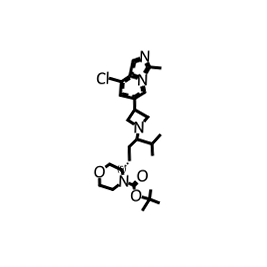 Cc1ncc2c(Cl)cc(C3CN(C(CC[C@H]4COCCN4C(=O)OC(C)(C)C)C(C)C)C3)cn12